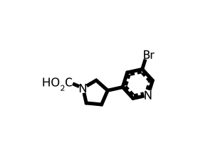 O=C(O)N1CCC(c2cncc(Br)c2)C1